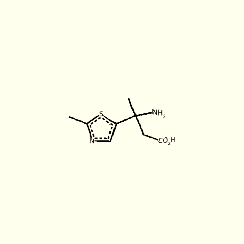 Cc1ncc(C(C)(N)CC(=O)O)s1